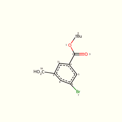 CC(C)(C)OC(=O)c1cc(Br)cc(C(=O)O)c1